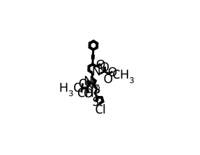 COC(=O)C(=O)Cn1c(-c2cc(SCc3ccc(Cl)s3)n(C(=O)C(C)(C)C)n2)ccc(C#Cc2ccccc2)c1=O